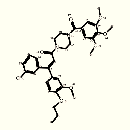 CCCOc1ccc(C(=CC(=O)N2CCN(C(=O)c3cc(OC)c(OC)c(OC)c3)CC2)c2cccc(Cl)c2)cc1OC